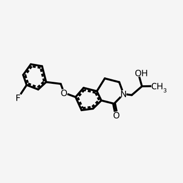 CC(O)CN1CCc2cc(OCc3cccc(F)c3)ccc2C1=O